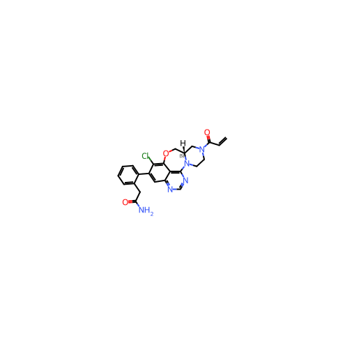 C=CC(=O)N1CCN2c3ncnc4cc(-c5ccccc5CC(N)=O)c(Cl)c(c34)OC[C@@H]2C1